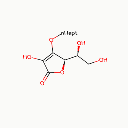 CCCCCCCOC1=C(O)C(=O)O[C@@H]1[C@@H](O)CO